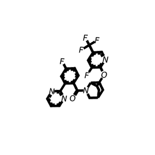 O=C(c1ccc(F)cc1-c1ncccn1)N1CC2CCC1C(Oc1ncc(C(F)(F)F)cc1F)C2